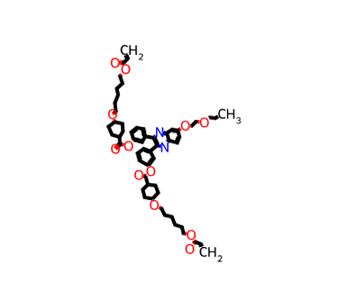 C=CC(=O)OCCCCCCOC1CCC(C(=O)Oc2cccc(-c3nc4ccc(OCCOCCC)cc4nc3-c3cccc(OC(=O)C4CCC(OCCCCCCOC(=O)C=C)CC4)c3)c2)CC1